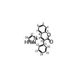 O=c1oc2ccccc2cc1-c1ccccc1.c1c[nH]nn1